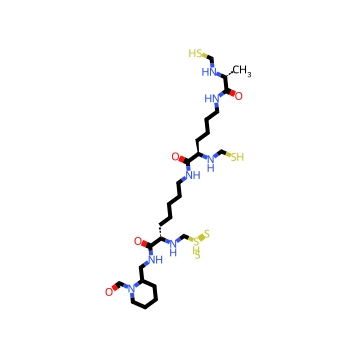 C[C@@H](NCS)C(=O)NCCCC[C@@H](NCS)C(=O)NCCCCC[C@H](NC[SH](=S)=S)C(=O)NCC1CCCCN1C=O